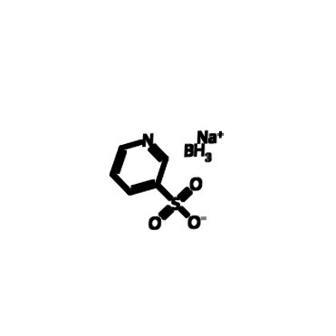 B.O=S(=O)([O-])c1cccnc1.[Na+]